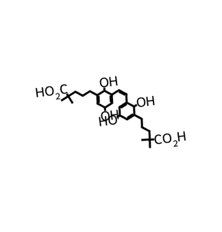 CC(C)(CCCC1=CC(O)C=C(/C=C\C2=CC(O)C=C(CCCC(C)(C)C(=O)O)C2O)C1O)C(=O)O